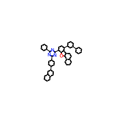 c1ccc(-c2cccc(-c3ccc(-c4nc(-c5ccccc5)nc(-c5ccc(-c6ccc7ccccc7c6)cc5)n4)c4oc5c6ccccc6ccc5c34)c2)cc1